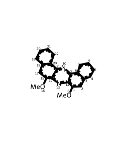 COc1cc2ccccc2c2nc3c(nc12)c(OC)cc1ccccc13